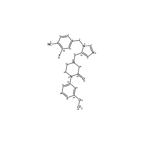 N#Cc1ccc(Cn2cncc2CN2CCN(c3cccc(OC(F)(F)F)c3)C(=O)C2)cc1F